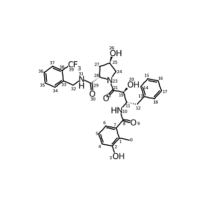 Cc1c(O)cccc1C(=O)N[C@@H](Cc1ccccc1)[C@H](O)C(=O)N1C[C@H](O)C[C@H]1C(=O)NCc1ccccc1C(F)(F)F